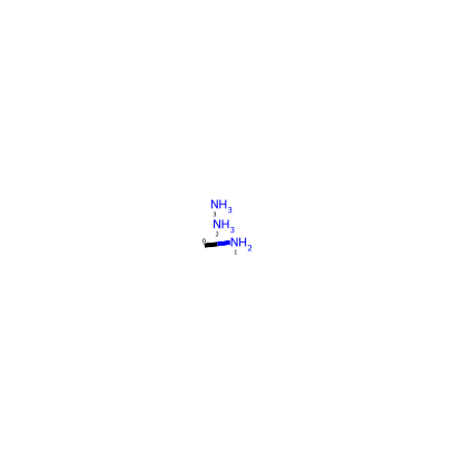 CN.N.N